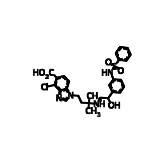 CC(C)(CCn1cnc2c(Cl)c(C(=O)O)ccc21)NCC(O)c1cccc(NS(=O)(=O)c2ccccc2)c1